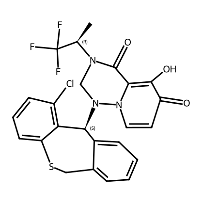 C[C@@H](N1CN([C@H]2c3ccccc3CSc3cccc(Cl)c32)n2ccc(=O)c(O)c2C1=O)C(F)(F)F